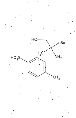 CCCCC(C)(N)CO.Cc1ccc(S(=O)(=O)O)cc1